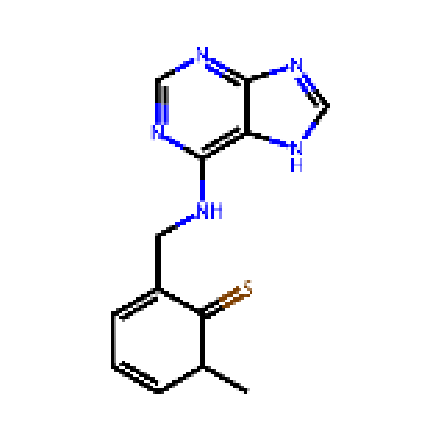 CC1C=CC=C(CNc2ncnc3nc[nH]c23)C1=S